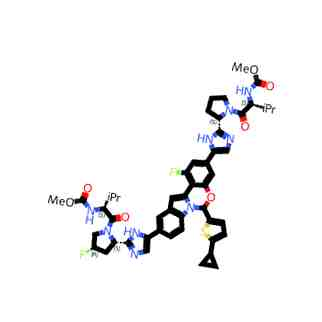 COC(=O)N[C@H](C(=O)N1CCC[C@H]1c1ncc(-c2cc(F)c3c(c2)OC(c2ccc(C4CC4)s2)n2c-3cc3cc(-c4cnc([C@@H]5C[C@@H](F)CN5C(=O)[C@@H](NC(=O)OC)C(C)C)[nH]4)ccc32)[nH]1)C(C)C